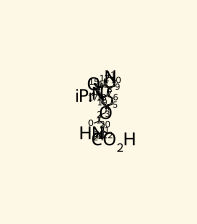 CC(COc1ccc2c3ccncc3c(=O)n(C(C)C)c2c1)CC(C)NC(=O)O